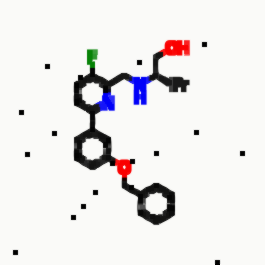 CC(C)[C@H](CO)NCc1nc(-c2cccc(OCc3ccccc3)c2)ccc1F